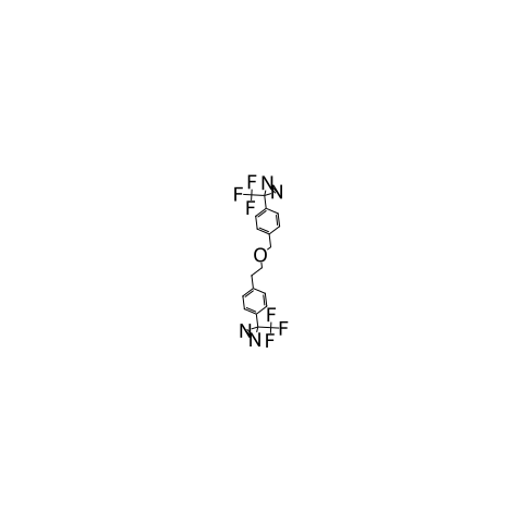 FC(F)(F)C1(c2ccc(CCOCc3ccc(C4(C(F)(F)F)N=N4)cc3)cc2)N=N1